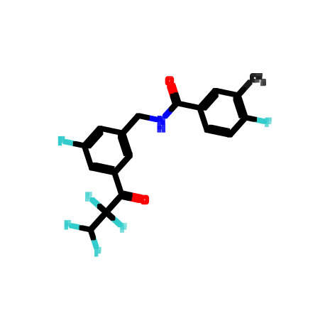 O=C(NCc1cc(F)cc(C(=O)C(F)(F)C(F)F)c1)c1ccc(F)c(C(F)(F)F)c1